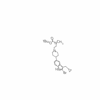 CN(CCN1CCC(c2ccc3[nH]c(Br)c(CC4CC4)c3c2)CC1)C(=O)OC(C)(C)C